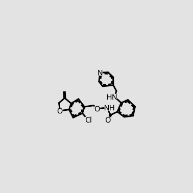 C=C1COc2cc(Cl)c(CONC(=O)c3ccccc3NCc3ccncc3)cc21